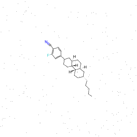 CCCCC[C@@H]1CC[C@H]2[C@@H](CC[C@@H]3CC(c4ccc(C#N)c(F)c4)CC[C@H]32)C1